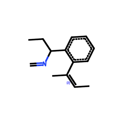 C=NC(CC)c1ccccc1/C(C)=C\C